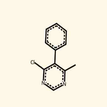 Cc1ncnc(Cl)c1-c1ccccc1